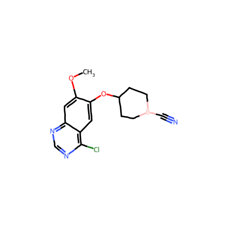 COc1cc2ncnc(Cl)c2cc1OC1CCB(C#N)CC1